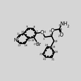 NC(=O)OC(COc1ccc2cnccc2c1Br)Cc1ccccc1